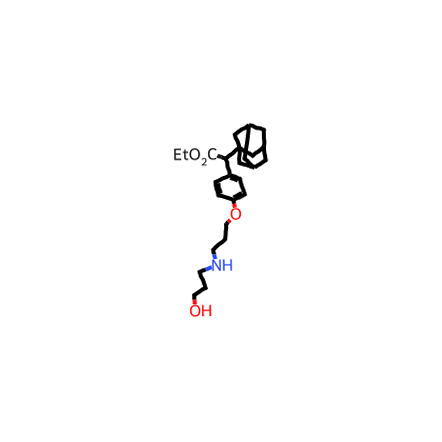 CCOC(=O)C(c1ccc(OCCCNCCCO)cc1)C12CC3CC(CC(C3)C1)C2